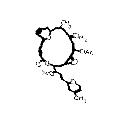 C=C1CC(C)CC2CC=CC(C/C=C\C(=O)OC(C(C=CC3CC(C)=CCO3)OC(C)=O)CC3OC3C(OC(C)=O)C1)O2